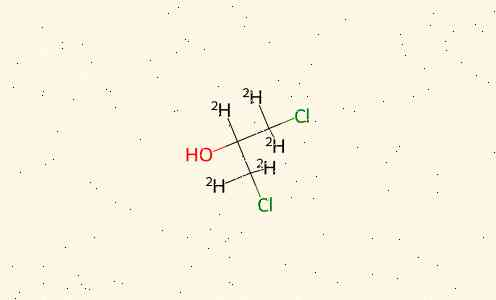 [2H]C([2H])(Cl)C([2H])(O)C([2H])([2H])Cl